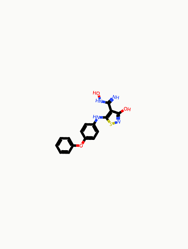 N=C(NO)c1c(O)nsc1Nc1ccc(Oc2ccccc2)cc1